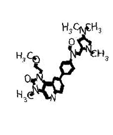 COCCn1c(=O)n(C)c2cnc3ccc(-c4ccc(N(C=O)CC5CC(N(C)C)CN5C)cc4)cc3c21